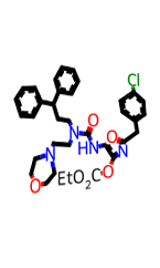 CCOC(=O)Oc1nc(Cc2ccc(Cl)cc2)oc1NC(=O)N(CCC(c1ccccc1)c1ccccc1)CCN1CCOCC1